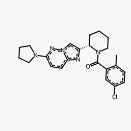 Cc1ccc(Cl)cc1C(=O)N1CCCC[C@H]1c1cn2nc(N3CCCC3)ccc2n1